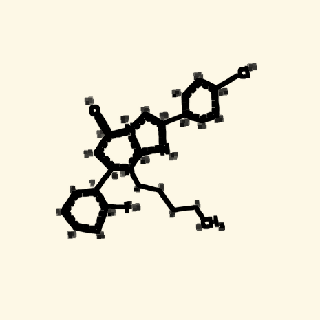 CCCCCn1c(-c2ccccc2F)cc(=O)n2cc(-c3ccc(Cl)cc3)nc12